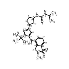 CC(C)NC(=O)O[C@@H]1CC[C@H](c2cc(Nc3cccc4c3CN(C)S4(=O)=O)n(C(C)(C)C)n2)C1